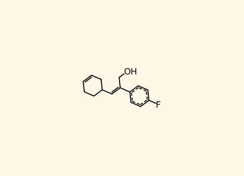 OC/C(=C\C1CC=CCC1)c1ccc(F)cc1